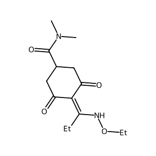 CCONC(CC)=C1C(=O)CC(C(=O)N(C)C)CC1=O